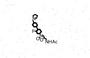 CC(=O)NCC1CN(c2ccc(-c3ccc(CN4CCCC4)cc3)c(F)c2)C(=O)O1